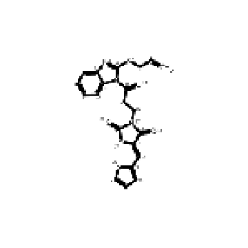 C=CCSc1nc2ccccc2n1C(=O)CCN1C(=O)/C(=C/c2cccs2)SC1=S